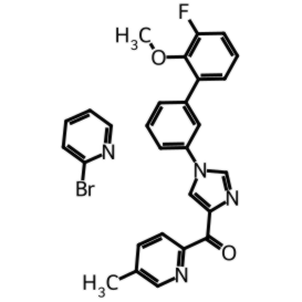 Brc1ccccn1.COc1c(F)cccc1-c1cccc(-n2cnc(C(=O)c3ccc(C)cn3)c2)c1